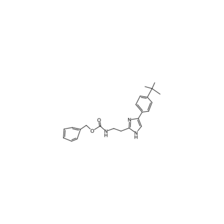 CC(C)(C)c1ccc(-c2c[nH]c(CCNC(=O)OCc3ccccc3)n2)cc1